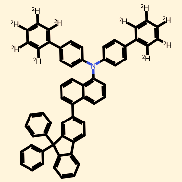 [2H]c1c([2H])c([2H])c(-c2ccc(N(c3ccc(-c4c([2H])c([2H])c([2H])c([2H])c4[2H])cc3)c3cccc4c(-c5ccc6c(c5)C(c5ccccc5)(c5ccccc5)c5ccccc5-6)cccc34)cc2)c([2H])c1[2H]